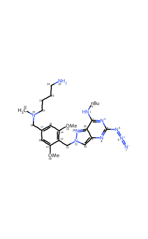 CCCCNc1nc(N=[N+]=[N-])nc2cn(Cc3c(OC)cc(CN(C)CCCCN)cc3OC)nc12